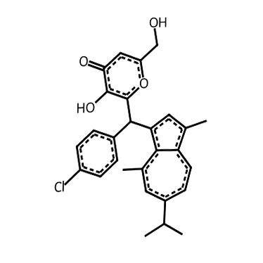 Cc1cc(C(c2ccc(Cl)cc2)c2oc(CO)cc(=O)c2O)c2c(C)cc(C(C)C)ccc1-2